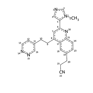 Cn1cncc1-c1cc(CCc2ccnnc2)c2cc(CCC#N)ccc2n1